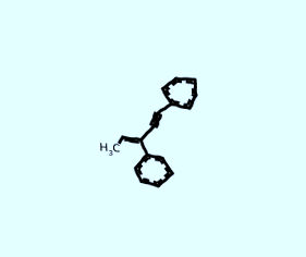 C/C=C(/C#Cc1ccccc1)c1ccccc1